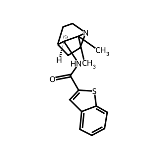 CC1(C)[C@@H](NC(=O)c2cc3ccccc3s2)C2CCN1CC2